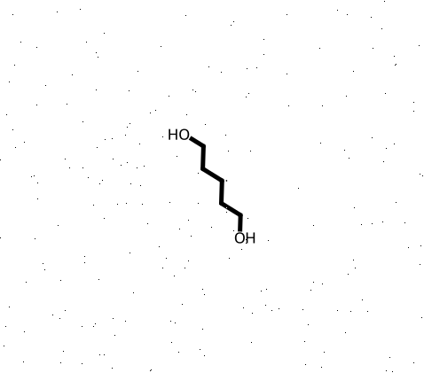 OCC[CH]CCO